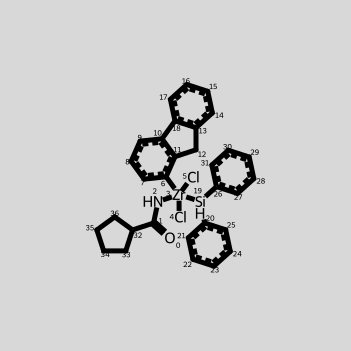 O=C([NH][Zr]([Cl])([Cl])([c]1cccc2c1Cc1ccccc1-2)[SiH](c1ccccc1)c1ccccc1)C1CCCC1